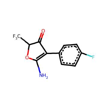 NC1=C(c2ccc(F)cc2)C(=O)C(C(F)(F)F)O1